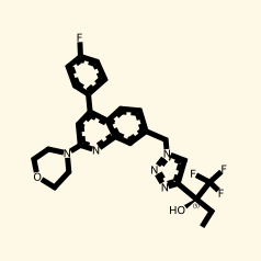 CC[C@](O)(c1cn(Cc2ccc3c(-c4ccc(F)cc4)cc(N4CCOCC4)nc3c2)nn1)C(F)(F)F